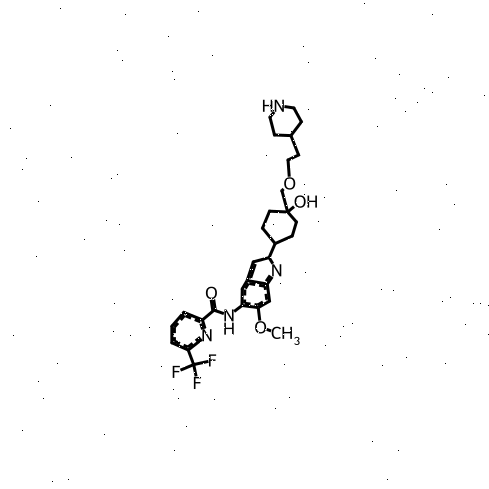 COc1cc2c(cc1NC(=O)c1cccc(C(F)(F)F)n1)=CC(C1CCC(O)(COCCC3CCNCC3)CC1)N=2